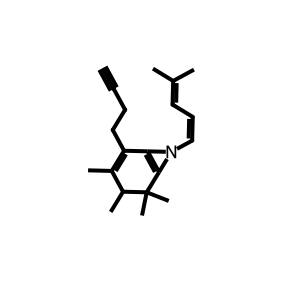 C#CCCC1=C(C)C(C)C(C)(C)C2=C1N2/C=C\C=C(C)C